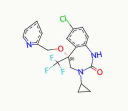 O=C1Nc2ccc(Cl)cc2[C@](OCc2ccccn2)(C(F)(F)F)CN1C1CC1